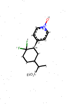 CCOC(=O)C(C)C1CCC(F)(F)[C@@H](c2cc[n+]([O-])cc2)C1